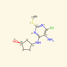 CCCSc1nc(Cl)c(N)c(NC2CC[C@@H](O)C2)n1